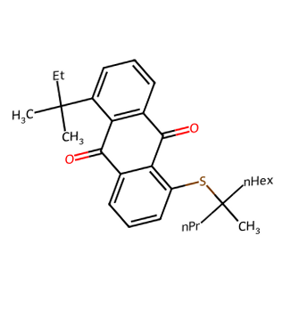 CCCCCCC(C)(CCC)Sc1cccc2c1C(=O)c1cccc(C(C)(C)CC)c1C2=O